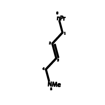 CCCCC=CCNC